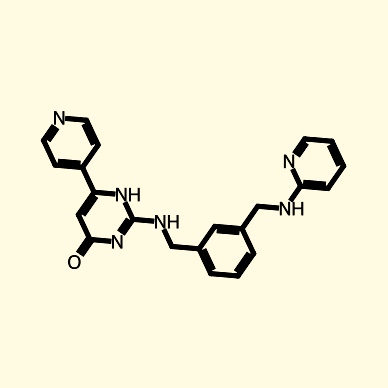 O=c1cc(-c2ccncc2)[nH]c(NCc2cccc(CNc3ccccn3)c2)n1